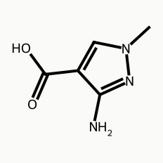 Cn1cc(C(=O)O)c(N)n1